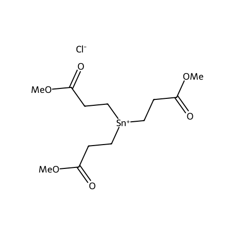 COC(=O)C[CH2][Sn+]([CH2]CC(=O)OC)[CH2]CC(=O)OC.[Cl-]